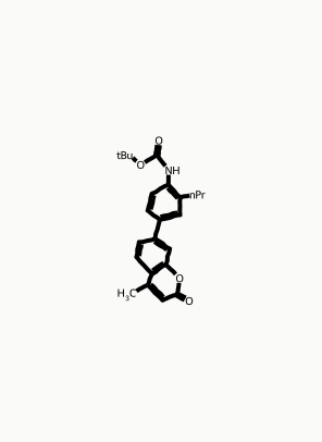 CCCc1cc(-c2ccc3c(C)cc(=O)oc3c2)ccc1NC(=O)OC(C)(C)C